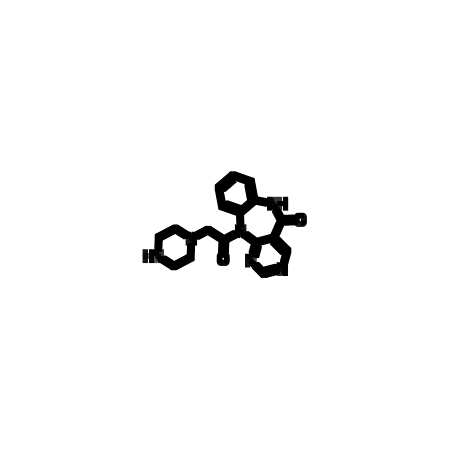 O=C1Nc2ccccc2N(C(=O)CN2CCNCC2)c2ncncc21